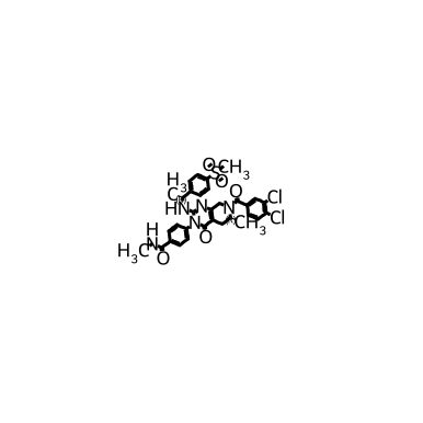 CNC(=O)c1ccc(-n2c(N[C@H](C)c3ccc(S(C)(=O)=O)cc3)nc3c(c2=O)C[C@@H](C)N(C(=O)c2ccc(Cl)c(Cl)c2)C3)cc1